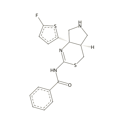 O=C(NC1=N[C@@]2(c3ccc(F)s3)CNC[C@H]2CS1)c1ccccc1